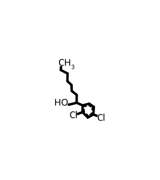 CCCCCCCC(CO)c1ccc(Cl)cc1Cl